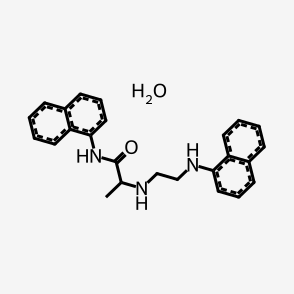 CC(NCCNc1cccc2ccccc12)C(=O)Nc1cccc2ccccc12.O